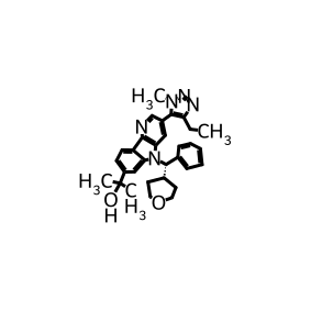 CCc1nnn(C)c1-c1cnc2c3ccc(C(C)(C)O)cc3n([C@H](c3ccccc3)C3CCOCC3)c2c1